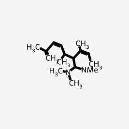 C=C(C)/C=C\C(C)C(/C(C)=C\C)C(NC)N(C)C